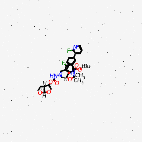 CC(C)(C)OC(=O)N1[C@@H](Cc2ccc(-c3cccnc3F)cc2)[C@H](CN(Cc2ccccc2F)NC(=O)O[C@H]2CO[C@H]3OCC[C@H]32)OC1(C)C